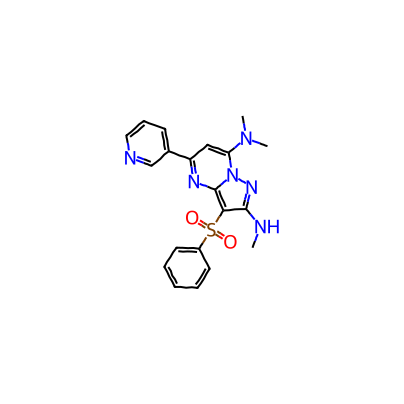 CNc1nn2c(N(C)C)cc(-c3cccnc3)nc2c1S(=O)(=O)c1ccccc1